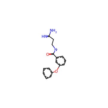 N=C(N)CC[N]C(=O)c1cccc(Oc2ccccc2)c1